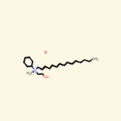 CCCCCCCCCCCCCCC[N+](C)(CCO)C1CCCCC1.[Br-]